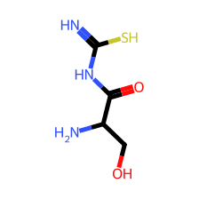 N=C(S)NC(=O)C(N)CO